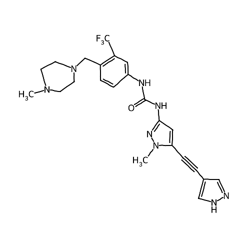 CN1CCN(Cc2ccc(NC(=O)Nc3cc(C#Cc4cn[nH]c4)n(C)n3)cc2C(F)(F)F)CC1